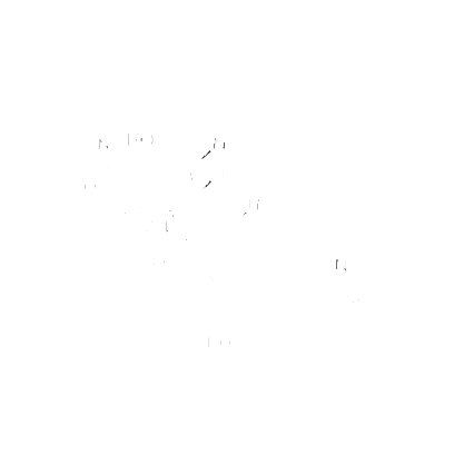 CON(C)Cc1ccc(O)c2c1C[C@H]1C[C@H]3[C@H](N(C)C)C(O)=C(C(N)=O)C(=O)C3(O)C(O)=C1C2=O